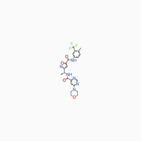 Cc1ccc(NC(=O)c2cc([C@H](C)NC(=O)c3cc(N4CCOCC4)ncn3)no2)cc1C(F)(F)F